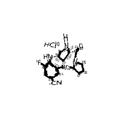 Cl.N#Cc1cc(F)c(N[C@@H]2CN[C@H](C(=O)N3CCCC3C#N)C2)c(F)c1